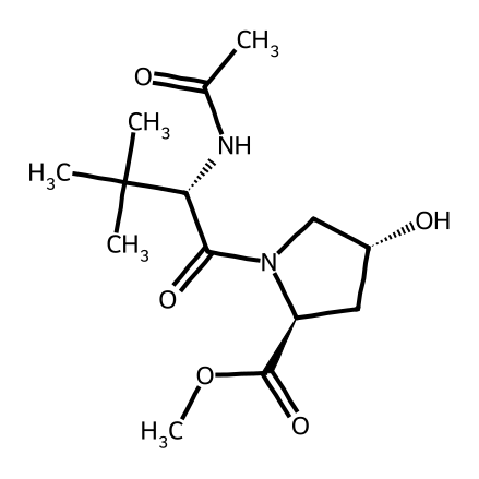 COC(=O)[C@@H]1C[C@@H](O)CN1C(=O)[C@@H](NC(C)=O)C(C)(C)C